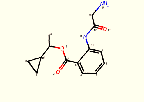 CC(OC(=O)c1ccccc1[N]C(=O)CN)C1CC1